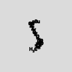 CCCCOC(=O)C=CCCOCCOCCOS(=O)(=O)c1ccc(C)cc1